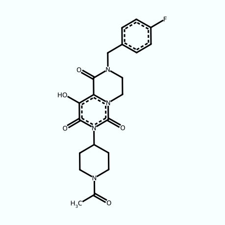 CC(=O)N1CCC(n2c(=O)c(O)c3n(c2=O)CCN(Cc2ccc(F)cc2)C3=O)CC1